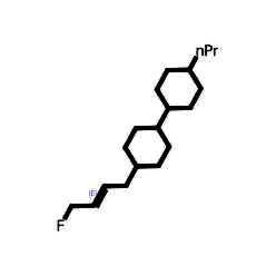 CCCC1CCC(C2CCC(C/C=C/CF)CC2)CC1